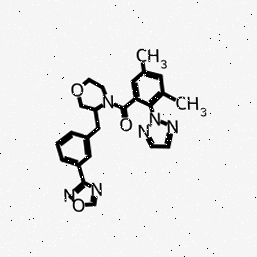 Cc1cc(C)c(-n2nccn2)c(C(=O)N2CCOCC2Cc2cccc(-c3ncon3)c2)c1